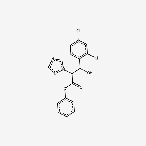 O=C(Oc1ccccc1)C(C(O)c1ccc(Cl)cc1Cl)n1cncn1